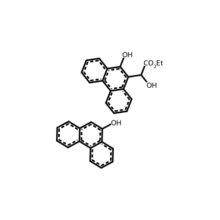 CCOC(=O)C(O)c1c(O)c2ccccc2c2ccccc12.Oc1cc2ccccc2c2ccccc12